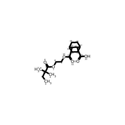 CCC(C)(C)C(=O)OCCOC(=O)C1C2CCC(CC2)C1C(=O)O